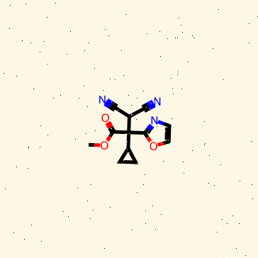 COC(=O)C(c1ncco1)(C(C#N)C#N)C1CC1